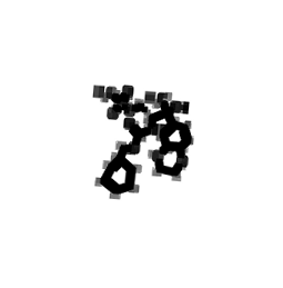 CC(O)(c1ccc2c(c1)OCCO2)[C@@H](COS(C)(=O)=O)NC(=O)OCc1ccccc1